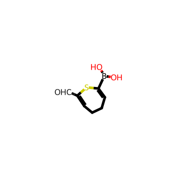 O=CC1=CCCC=C(B(O)O)S1